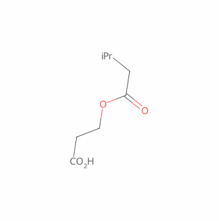 CC(C)CC(=O)OCCC(=O)O